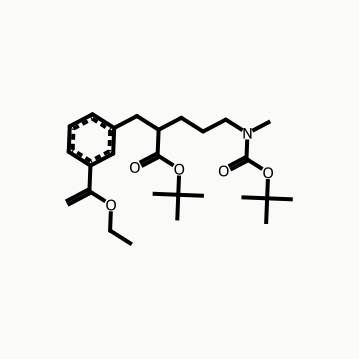 C=C(OCC)c1cccc(CC(CCCN(C)C(=O)OC(C)(C)C)C(=O)OC(C)(C)C)c1